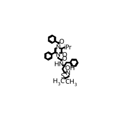 CC(C)C1C(=O)N(CC(=O)N[C@@](O)(CC2=NCC(C)(C)S2)Cc2ccccc2)C(c2ccccc2)=CN1C(=O)c1ccccc1